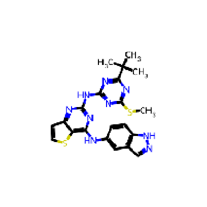 CSc1nc(Nc2nc(Nc3ccc4[nH]ncc4c3)c3sccc3n2)nc(C(C)(C)C)n1